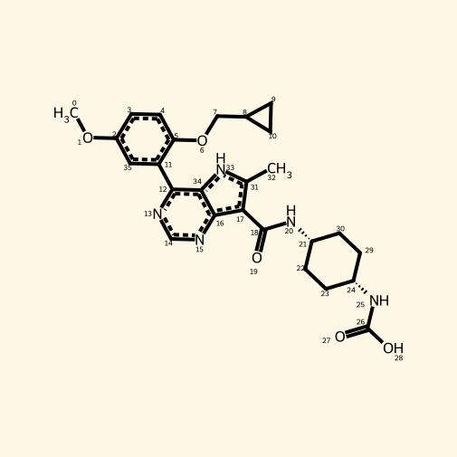 COc1ccc(OCC2CC2)c(-c2ncnc3c(C(=O)N[C@H]4CC[C@@H](NC(=O)O)CC4)c(C)[nH]c23)c1